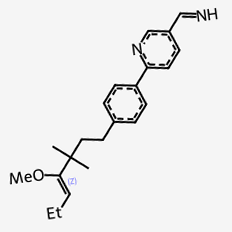 CC/C=C(\OC)C(C)(C)CCc1ccc(-c2ccc(C=N)cn2)cc1